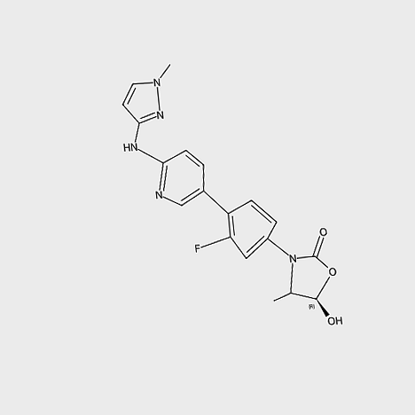 CC1[C@H](O)OC(=O)N1c1ccc(-c2ccc(Nc3ccn(C)n3)nc2)c(F)c1